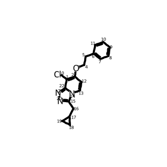 Clc1c(OCCc2ccccc2)ccn2c(CC3CC3)nnc12